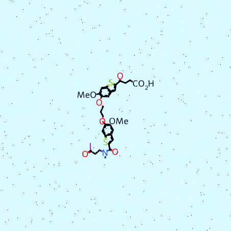 COc1cc2sc(C(=O)CCC(=O)O)cc2cc1OCCCOc1cc2sc(C(=O)N(C)CCC(=O)I)cc2cc1OC